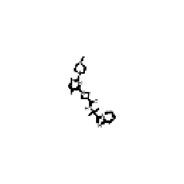 CN1CCN(c2ncc(F)c(N3CC(C(=O)NC(C)(C)c4cnc5ccccn45)C3)n2)CC1